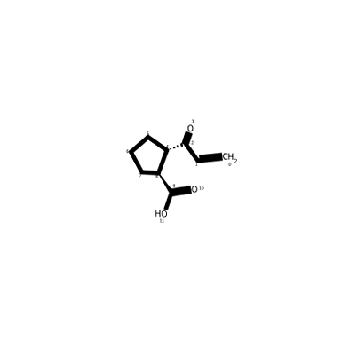 C=CC(=O)[C@H]1CCC[C@@H]1C(=O)O